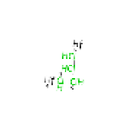 Cl.Cl.Cl.Cl.[Hf].[Hf]